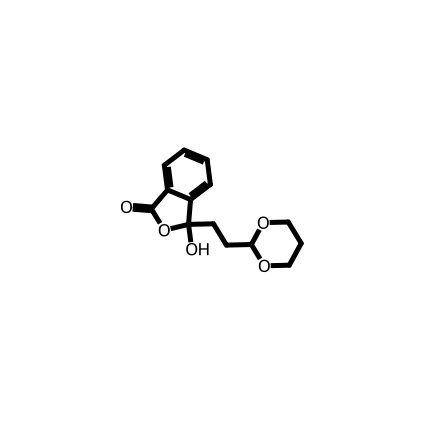 O=C1OC(O)(CCC2OCCCO2)c2ccccc21